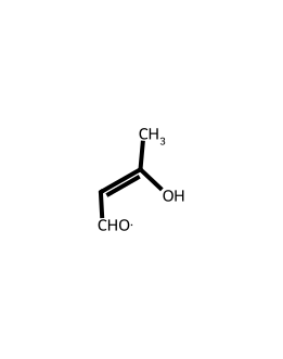 CC(O)=C[C]=O